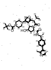 Cc1ncsc1-c1ccc([C@H](C)NC(=O)[C@@H]2C[C@@H](O)CN2C(=O)[C@H](c2cc(N3CCN(C(=O)OC(C)(C)C)CC3)no2)C(C)C)cc1